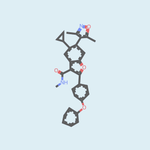 CNC(=O)c1c(-c2ccc(Oc3ccccc3)cc2)oc2cc(-c3c(C)noc3C)c(C3CC3)cc12